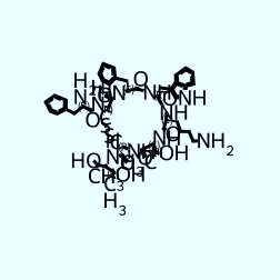 CC(O)C(NC(=O)[C@@H]1CSSC[C@H](NC(=O)[C@H](N)Cc2ccccc2)C(=O)N[C@@H](Cc2ccccc2)C(=O)N[C@H](Cc2c[nH]c3ccccc23)C(=O)N[C@@H](CCCCN)C(=O)N[C@@H]([C@@H](C)O)C(=O)N1)[C@@H](C)O